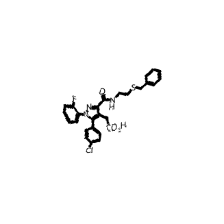 O=C(O)Cc1c(C(=O)NCCSCc2ccccc2)nn(-c2ccccc2F)c1-c1ccc(Cl)cc1